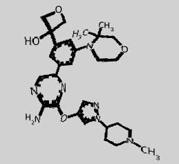 CN1CCC(n2cc(Oc3nc(-c4cc(N5CCOCC5(C)C)cc(C5(O)COC5)c4)cnc3N)cn2)CC1